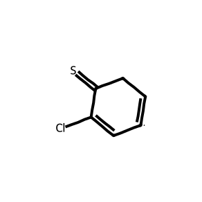 S=C1CC=[C]C=C1Cl